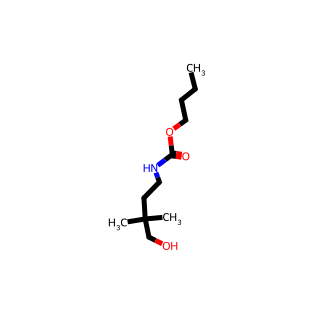 CCCCOC(=O)NCCC(C)(C)CO